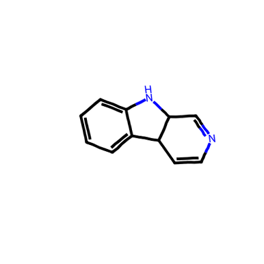 C1=CC2c3ccccc3NC2C=N1